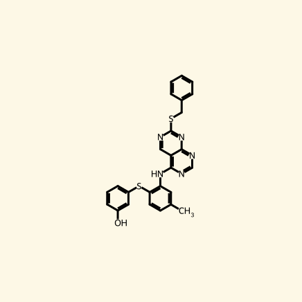 Cc1ccc(Sc2cccc(O)c2)c(Nc2ncnc3nc(SCc4ccccc4)ncc23)c1